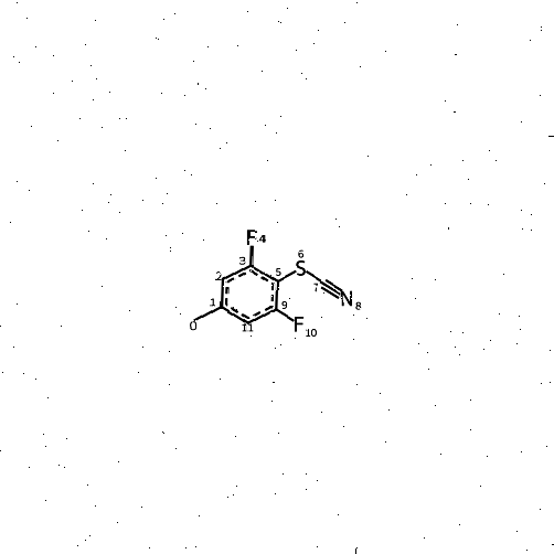 Cc1cc(F)c(SC#N)c(F)c1